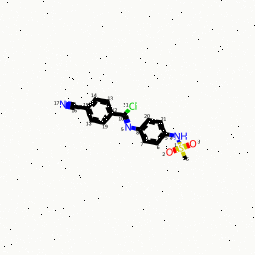 CS(=O)(=O)Nc1ccc(/N=C(\Cl)c2ccc(C#N)cc2)cc1